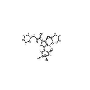 Cc1c(C(=O)NCC2CCCCC2)cc(-c2cc(F)c(F)cc2Cl)n1CC1CCCCC1